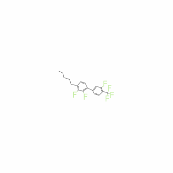 CCCCCc1ccc(-c2ccc(C(F)(F)F)c(F)c2)c(F)c1F